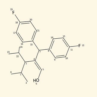 CC(C)C(C(=CO)C(c1ccc(F)cc1)c1ccc(F)cc1)C(C)C